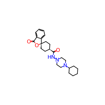 O=C1O[C@]2(CC[C@H](C(=O)NN3CCN(C4CCCCC4)CC3)CC2)c2ccccc21